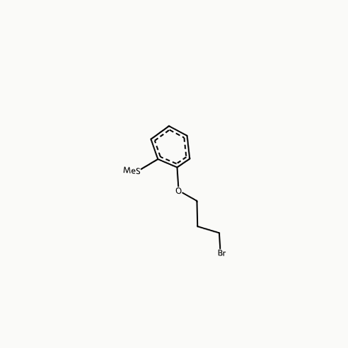 CSc1ccccc1OCCCBr